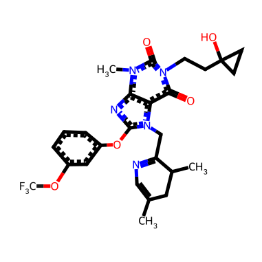 CC1=CN=C(Cn2c(Oc3cccc(OC(F)(F)F)c3)nc3c2c(=O)n(CCC2(O)CC2)c(=O)n3C)C(C)C1